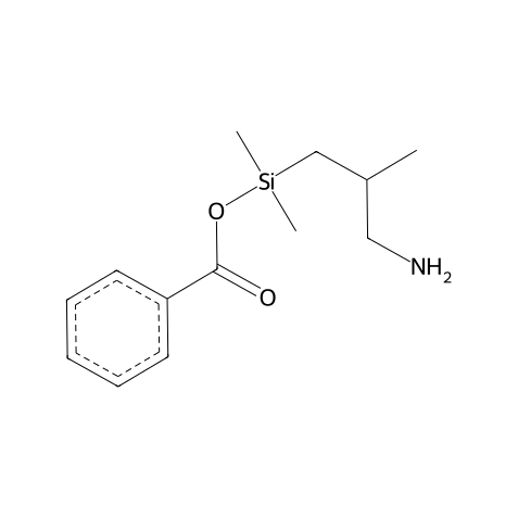 CC(CN)C[Si](C)(C)OC(=O)c1ccccc1